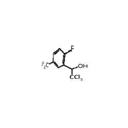 OC(c1cc(C(F)(F)F)ccc1F)C(Cl)(Cl)Cl